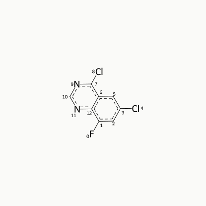 Fc1cc(Cl)cc2c(Cl)ncnc12